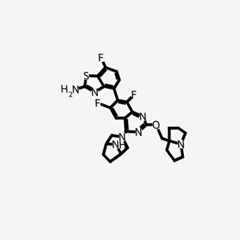 Nc1nc2c(-c3c(F)cc4c(N5CC6CCC(C5)N6)nc(OCC56CCCN5CCC6)nc4c3F)ccc(F)c2s1